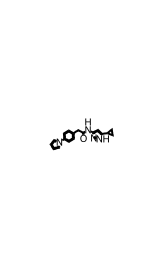 O=C(Cc1ccc(-n2cccc2)cc1)Nc1cc(C2CC2)[nH]n1